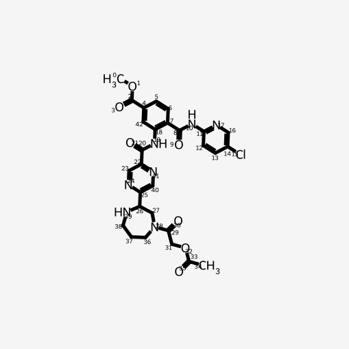 COC(=O)c1ccc(C(=O)Nc2ccc(Cl)cn2)c(NC(=O)c2cnc(C3CN(C(=O)COC(C)=O)CCCN3)cn2)c1